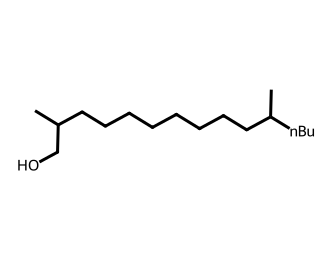 CCCCC(C)CCCCCCCCC(C)CO